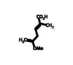 C=C(C/C=C(\C)C(=O)O)OC